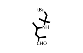 CC(C=O)CC(C)NC(C)(C)CC(C)(C)C